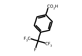 O=C(O)c1ccc(C(F)(C(F)(F)F)C(F)(F)F)cc1